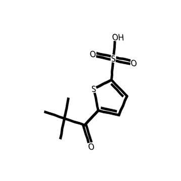 CC(C)(C)C(=O)c1ccc(S(=O)(=O)O)s1